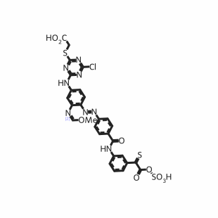 CO/C=N\c1cc(Nc2nc(Cl)nc(SCC(=O)O)n2)ccc1N=Nc1ccc(C(=O)Nc2cccc(C(=S)C(=O)OS(=O)(=O)O)c2)cc1